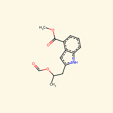 COC(=O)c1cccc2[nH]c(CC(C)OC=O)cc12